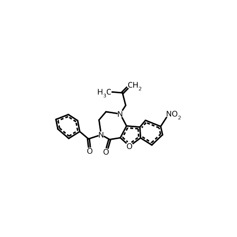 C=C(C)CN1CCN(C(=O)c2ccccc2)C(=O)c2oc3ccc([N+](=O)[O-])cc3c21